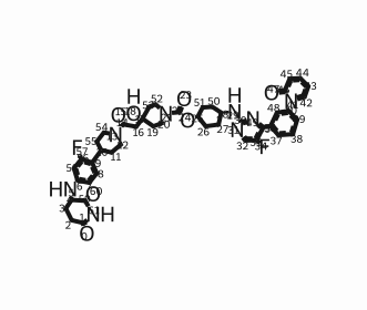 O=C1CCC(Nc2ccc(C3CCN(C(=O)CC4(O)CCN(C(=O)O[C@H]5CC[C@H](Nc6ncc(F)c(-c7cccc(-n8ccccc8=O)c7)n6)CC5)CC4)CC3)c(F)c2)C(=O)N1